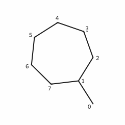 CC1C[CH]CCCC1